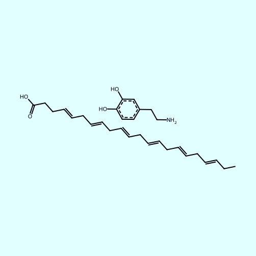 CCC=CCC=CCC=CCC=CCC=CCC=CCCC(=O)O.NCCc1ccc(O)c(O)c1